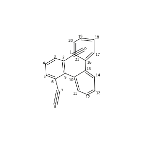 C#Cc1cccc(C#C)c1-c1ccccc1-c1ccccc1